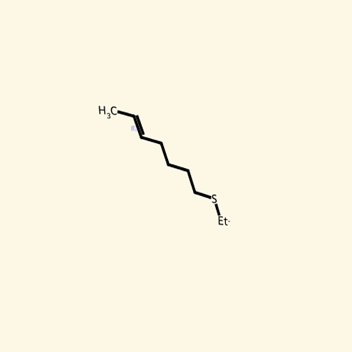 C[CH]SCCCC/C=C/C